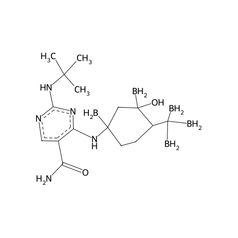 BC1(Nc2nc(NC(C)(C)C)ncc2C(N)=O)CCC(C(B)(B)B)C(B)(O)C1